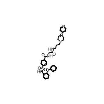 O=C(CNC(=O)c1ccc(S(=O)(=O)Nc2ccccc2Oc2ccccc2)cc1)NCCCN1CCN(c2ccncc2)CC1